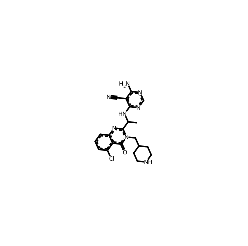 CC(Nc1ncnc(N)c1C#N)c1nc2cccc(Cl)c2c(=O)n1CC1CCNCC1